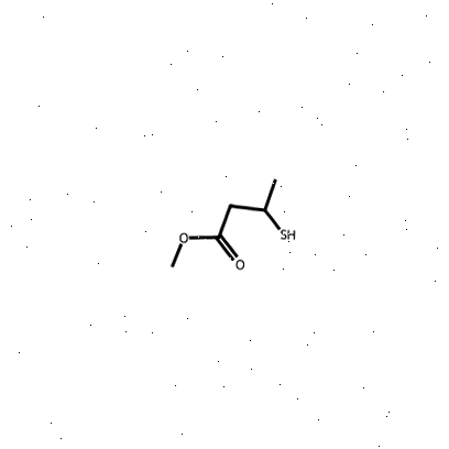 COC(=O)CC(C)S